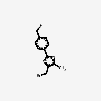 Cc1nc(-c2ccc(CF)cc2)sc1CBr